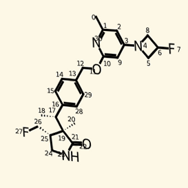 Cc1cc(N2CC(F)C2)cc(OCc2ccc([C@@H](C)[C@@]3(C)C(=O)NC[C@@H]3CF)cc2)n1